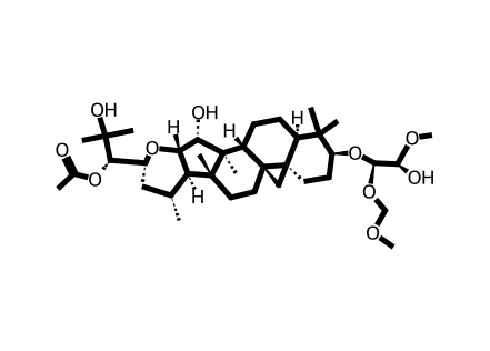 COCO[C@@H](O[C@H]1CC[C@]23C[C@]24CC[C@]2(C)[C@@H]5[C@H](O[C@@H]([C@H](OC(C)=O)C(C)(C)O)C[C@H]5C)[C@H](O)[C@@]2(C)[C@@H]4CC[C@H]3C1(C)C)[C@H](O)OC